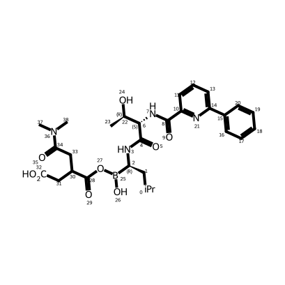 CC(C)C[C@H](NC(=O)[C@@H](NC(=O)c1cccc(-c2ccccc2)n1)[C@@H](C)O)B(O)OC(=O)C(CC(=O)O)CC(=O)N(C)C